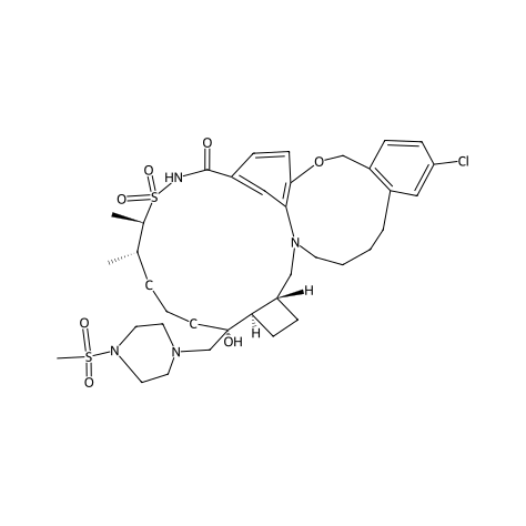 C[C@@H]1[C@@H](C)CCC[C@](O)(CN2CCN(S(C)(=O)=O)CC2)[C@@H]2CC[C@H]2CN2CCCCc3cc(Cl)ccc3COc3ccc(cc32)C(=O)NS1(=O)=O